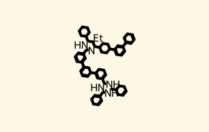 CCC1C(C2CCC(c3cccc(C4=CC=CCC4)c3)CC2)=NC(c2cccc(C3=CC=CC(C4=CC(C5NC(C6=CCCC=C6)NC(C6CC=CCC6)N5)=CCC4)C3)c2)NC1C1CCCCC1